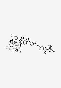 COc1cc(C(=O)N2CCC[C@]3(C[C@H]3C#Cc3ccc4c(c3)CN(C3CCC(=O)NC3=O)C4=O)C2)ccc1NC(=O)[C@@H]1N[C@@H](CC(C)(C)C)[C@@]2(CNc3cc(Cl)ccc32)[C@H]1c1cccc(Cl)c1F